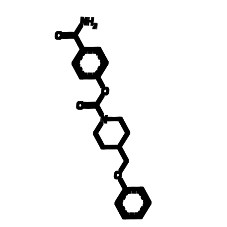 NC(=O)c1ccc(OC(=O)N2CCC(COc3ccccc3)CC2)cc1